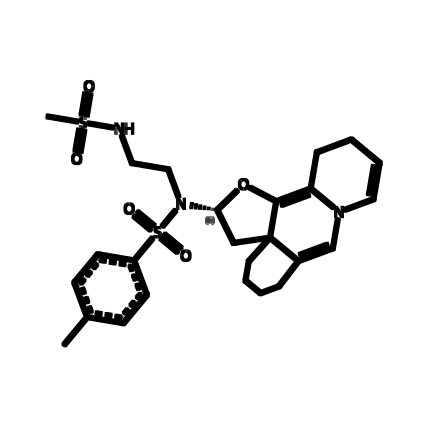 Cc1ccc(S(=O)(=O)N(CCNS(C)(=O)=O)[C@H]2CC34CCCCC3=CN3C=CCCC3=C4O2)cc1